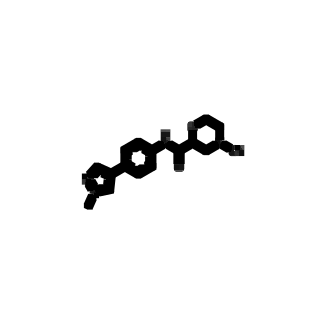 Cn1cc(-c2ccc(NC(=O)C3CN(C#N)CCO3)cc2)cn1